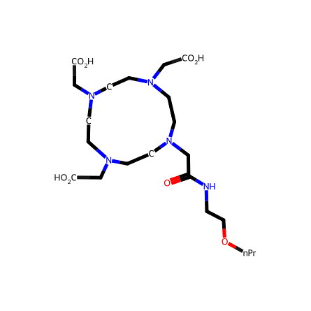 CCCOCCNC(=O)CN1CCN(CC(=O)O)CCN(CC(=O)O)CCN(CC(=O)O)CC1